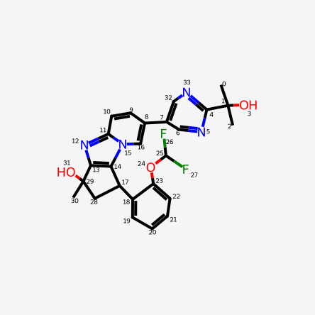 CC(C)(O)c1ncc(-c2ccc3nc4c(n3c2)C(c2ccccc2OC(F)F)CC4(C)O)cn1